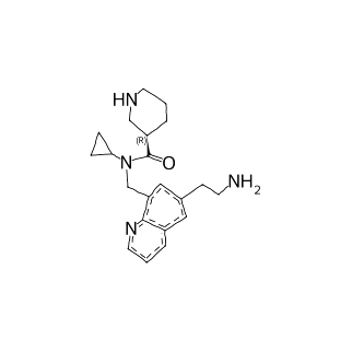 NCCc1cc(CN(C(=O)[C@@H]2CCCNC2)C2CC2)c2ncccc2c1